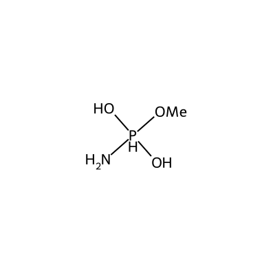 CO[PH](N)(O)O